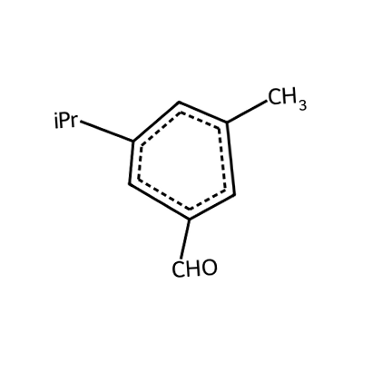 Cc1cc(C=O)cc(C(C)C)c1